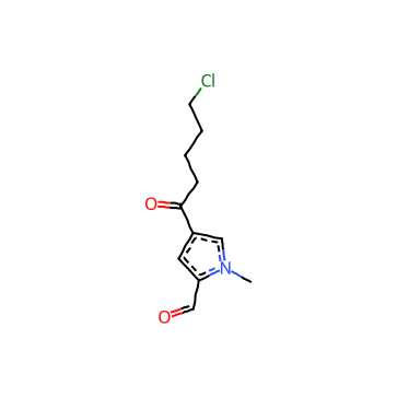 Cn1cc(C(=O)CCCCCl)cc1C=O